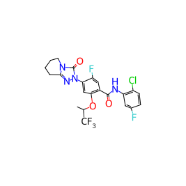 CC(Oc1cc(-n2nc3n(c2=O)CCCC3)c(F)cc1C(=O)Nc1cc(F)ccc1Cl)C(F)(F)F